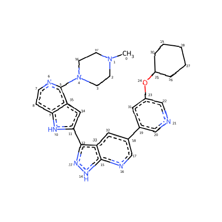 CN1CCN(c2nccc3[nH]c(-c4n[nH]c5ncc(-c6cncc(OC7CCCCC7)c6)cc45)cc23)CC1